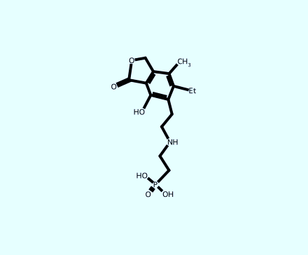 CCc1c(C)c2c(c(O)c1CCNCCP(=O)(O)O)C(=O)OC2